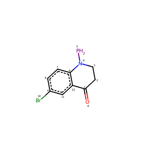 O=C1CCN(P)c2ccc(Br)cc21